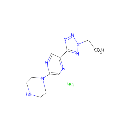 Cl.O=C(O)Cn1nnc(-c2cnc(N3CCNCC3)cn2)n1